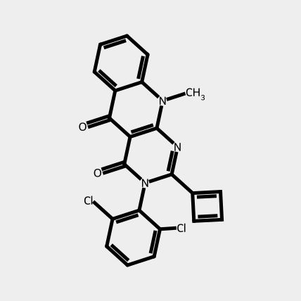 Cn1c2ccccc2c(=O)c2c(=O)n(-c3c(Cl)cccc3Cl)c(C3=CC=C3)nc21